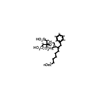 CCCCCCCCCCCCCCCC(Cc1ccccc1)N(C)C.O=C(O)CC(O)(CC(=O)O)C(=O)O